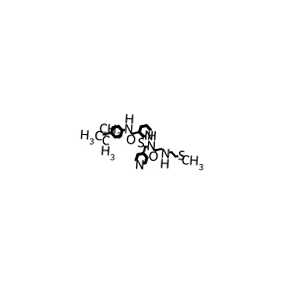 CSCCNCC(=O)NC(Sc1ncccc1C(=O)Nc1ccc(C(C)(C)C)cc1)c1ccncc1